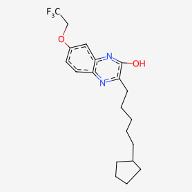 Oc1nc2cc(OCC(F)(F)F)ccc2nc1CCCCCC1CCCC1